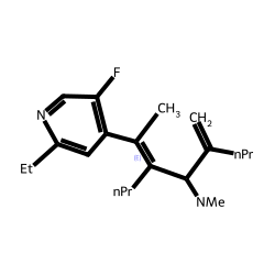 C=C(CCC)C(NC)/C(CCC)=C(\C)c1cc(CC)ncc1F